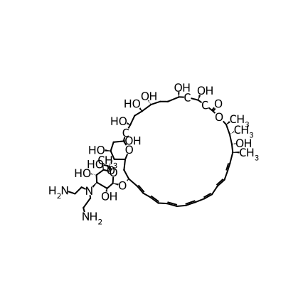 C[C@@H]1[C@H](O)[C@@H](C)/C=C/C=C/C=C/C=C/C=C/C=C/C=C/[C@H](O[C@@H]2O[C@H](C)[C@@H](O)[C@H](N(CCN)CCN)[C@@H]2O)CC2O[C@](O)(C[C@@H](O)C[C@@H](O)[C@H](O)CC[C@@H](O)C[C@@H](O)CC(=O)O[C@H]1C)C[C@H](O)[C@H]2C(=O)O